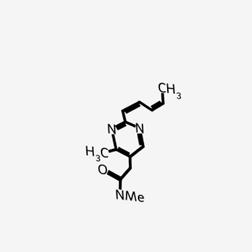 C/C=C\C=C/c1ncc(CC(=O)NC)c(C)n1